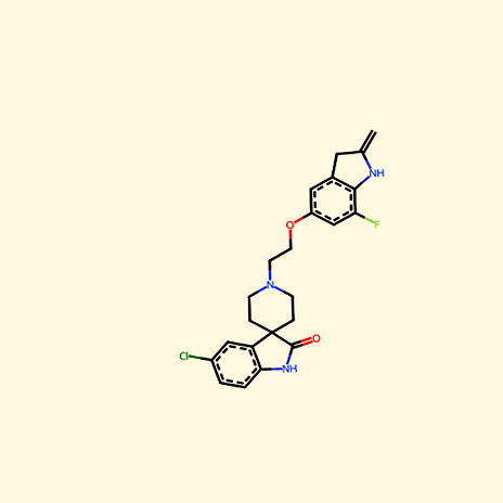 C=C1Cc2cc(OCCN3CCC4(CC3)C(=O)Nc3ccc(Cl)cc34)cc(F)c2N1